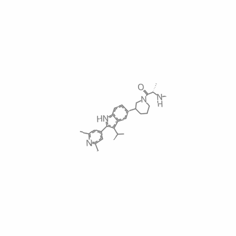 CN[C@@H](C)C(=O)N1CCCC(c2ccc3[nH]c(-c4cc(C)nc(C)c4)c(C(C)C)c3c2)C1